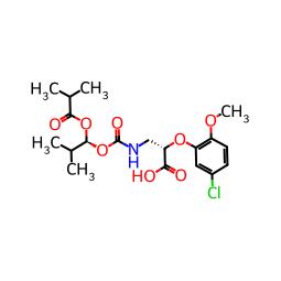 COc1ccc(Cl)cc1O[C@@H](CNC(=O)O[C@H](OC(=O)C(C)C)C(C)C)C(=O)O